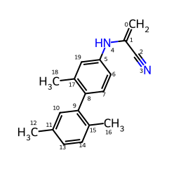 C=C(C#N)Nc1ccc(-c2cc(C)ccc2C)c(C)c1